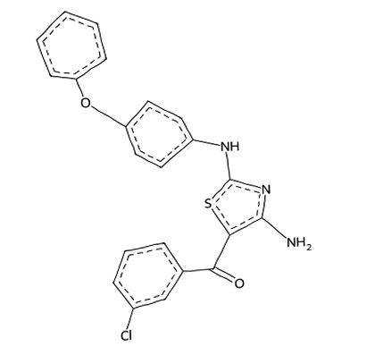 Nc1nc(Nc2ccc(Oc3ccccc3)cc2)sc1C(=O)c1cccc(Cl)c1